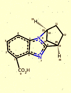 O=C(O)c1cccc2c1nc1n2[C@H]2CC[C@@H]1C2